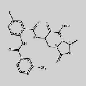 CNC(=O)C(=O)C(C[C@@H]1C[C@@H](C)NC1=O)NC(=O)c1cc(F)ccc1NC(=O)c1ccnc(C(F)(F)F)c1